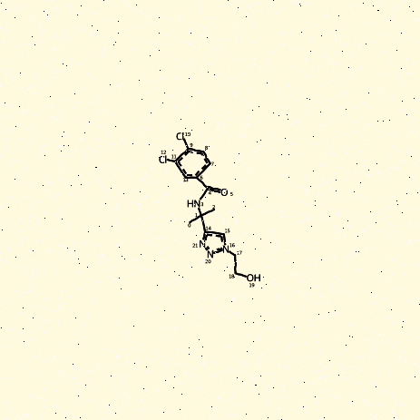 CC(C)(NC(=O)c1ccc(Cl)c(Cl)c1)c1cn(CCO)nn1